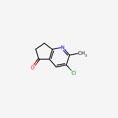 Cc1nc2c(cc1Cl)C(=O)CC2